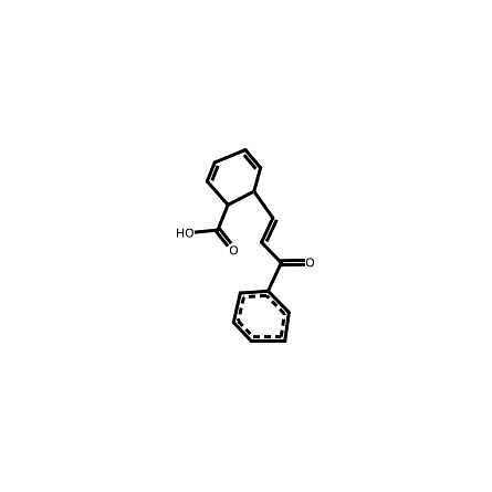 O=C(C=CC1C=CC=CC1C(=O)O)c1ccccc1